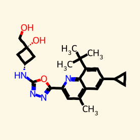 Cc1cc(-c2nnc(N[C@H]3C[C@](O)(CO)C3)o2)nc2c(C(C)(C)C)cc(C3CC3)cc12